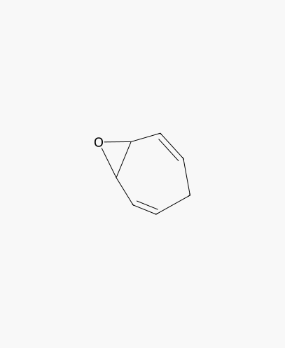 C1=CC2OC2C=CC1